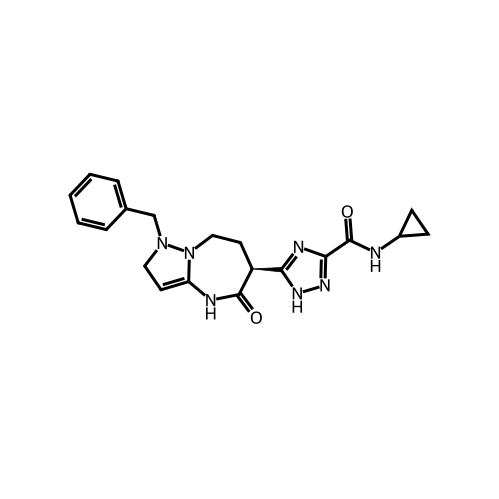 O=C(NC1CC1)c1n[nH]c([C@@H]2CCN3C(=CCN3Cc3ccccc3)NC2=O)n1